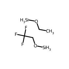 CCO[SiH3].FC(F)(F)CO[SiH3]